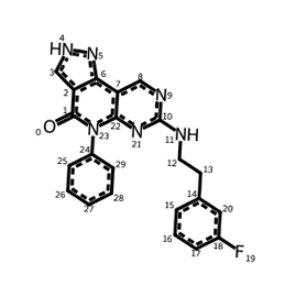 O=c1c2c[nH]nc2c2cnc(NCCc3cccc(F)c3)nc2n1-c1ccccc1